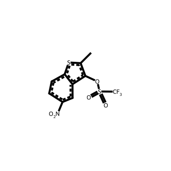 Cc1sc2ccc([N+](=O)[O-])cc2c1OS(=O)(=O)C(F)(F)F